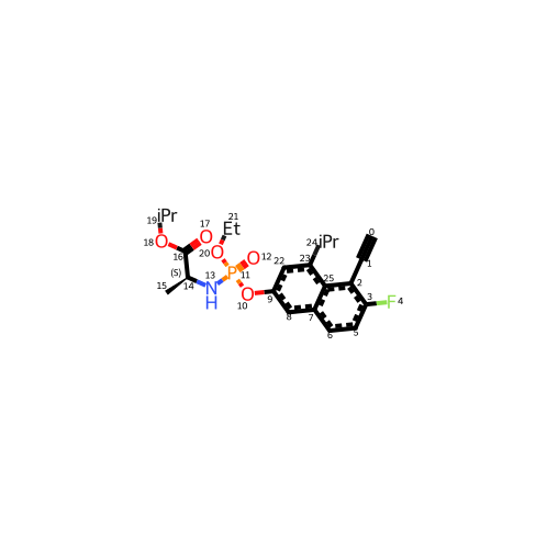 C#Cc1c(F)ccc2cc(OP(=O)(N[C@@H](C)C(=O)OC(C)C)OCC)cc(C(C)C)c12